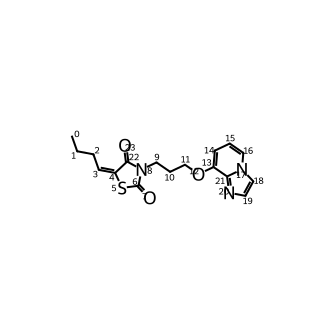 CCC/C=C1/SC(=O)N(CCCOc2cccn3ccnc23)C1=O